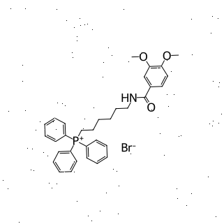 COc1ccc(C(=O)NCCCCCC[P+](c2ccccc2)(c2ccccc2)c2ccccc2)cc1OC.[Br-]